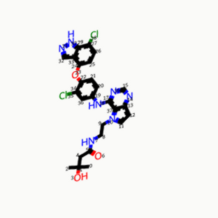 CC(C)(O)CC(=O)NCCn1ccc2ncnc(Nc3ccc(Oc4ccc(Cl)c5[nH]ncc45)c(Cl)c3)c21